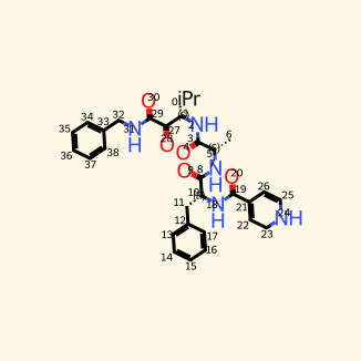 CC(C)[C@H](NC(=O)[C@H](C)NC(=O)[C@@H](Cc1ccccc1)NC(=O)C1=CCNC=C1)C(=O)C(=O)NCc1ccccc1